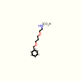 O=C(O)NCCOCCCOCc1ccccc1